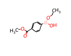 CCOB(O)c1ccc(C(=O)OC)cc1